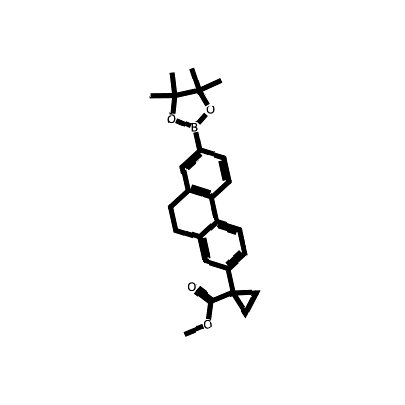 COC(=O)C1(c2ccc3c(c2)CCc2cc(B4OC(C)(C)C(C)(C)O4)ccc2-3)CC1